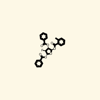 Cc1ccccc1C(=O)O[C@H]1O[C@H](OC(=O)c2ccccc2)[C@@H](F)[C@@H]1OC(=O)c1ccccc1